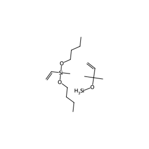 C=CC(C)(C)O[SiH3].C=C[Si](C)(OCCCC)OCCCC